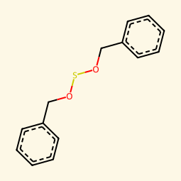 c1ccc(COSOCc2ccccc2)cc1